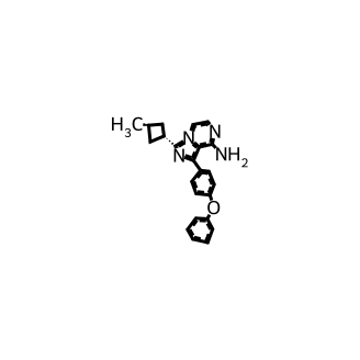 C[C@H]1C[C@H](c2nc(-c3ccc(Oc4ccccc4)cc3)c3c(N)nccn32)C1